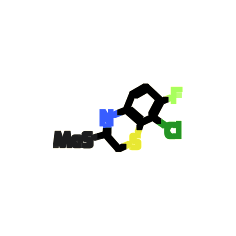 CSC1=Nc2ccc(F)c(Cl)c2SC1